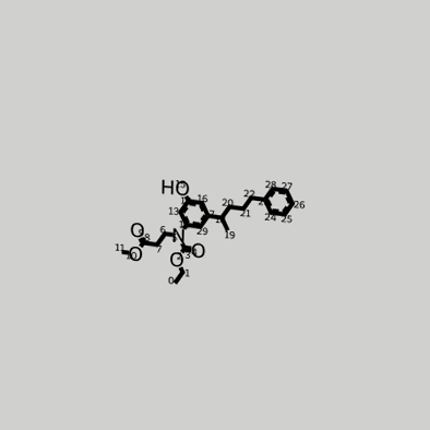 CCOC(=O)N(CCC(=O)OC)c1cc(O)cc(C(C)CCCc2ccccc2)c1